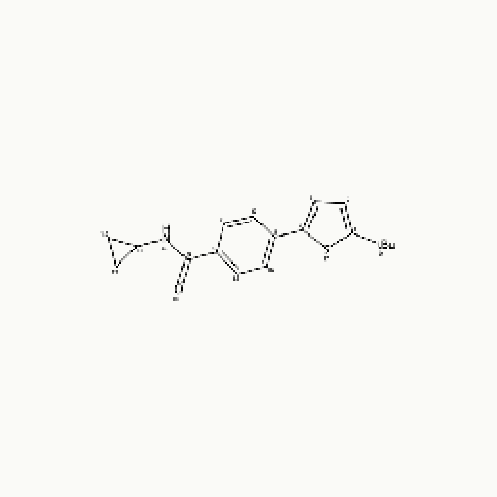 CC(C)(C)c1ccc(-c2ccc(C(=O)NC3CC3)cc2)s1